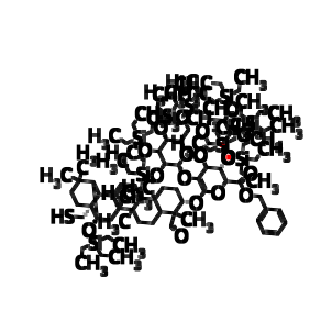 CC[Si](CC)(CC)OCC1O[C@@H](OC2=C(O[C@H]3CCC4(C)C(CCC5(C)C4CC=C4C6C7C(C)(C)CC[C@]6(CS)[C@@]7(O[Si](CC)(CC)CC)CC45C)C3(C)C=O)OC(C(=O)OCc3ccccc3)[C@@H](O[Si](CC)(CC)CC)C2O[C@@H]2OC[C@@H](O[Si](CC)(CC)CC)C(O[Si](CC)(CC)CC)C2O[Si](CC)(CC)CC)C(O[Si](CC)(CC)CC)C(O[Si](CC)(CC)CC)[C@H]1O[Si](CC)(CC)CC